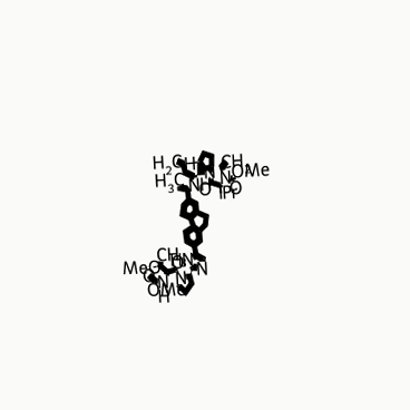 C=C/C=C(/N/C(=C\C)c1ccc2c(c1)CCc1cc(-c3cnc([C@@H]4CCCN4C(=O)C(NC(=O)OC)[C@@H](C)OC)[nH]3)ccc1-2)[C@@H]1[C@H]2CCC(C2)N1C(=O)[C@H](C(C)C)N(C=C)C(=O)OC